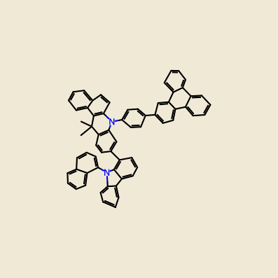 CC1(C)c2ccc(-c3cccc4c5ccccc5n(-c5cccc6ccccc56)c34)cc2N(c2ccc(-c3ccc4c5ccccc5c5ccccc5c4c3)cc2)c2ccc3ccccc3c21